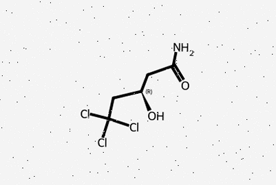 NC(=O)C[C@@H](O)CC(Cl)(Cl)Cl